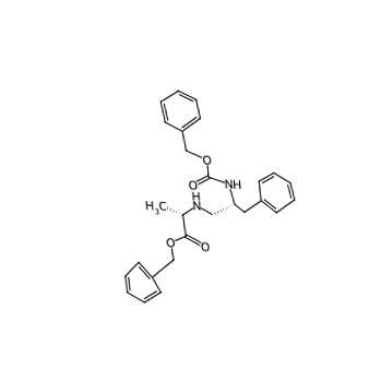 C[C@H](NC[C@@H](Cc1ccccc1)NC(=O)OCc1ccccc1)C(=O)OCc1ccccc1